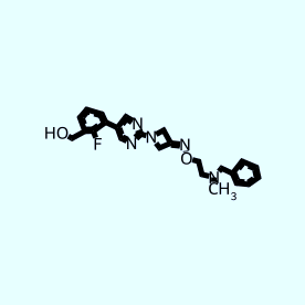 CN(CCON=C1CN(c2ncc(-c3cccc(CO)c3F)cn2)C1)Cc1ccccc1